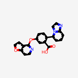 O=C(O)c1cc(Oc2nccc3occc23)ccc1-c1cccc2nccn12